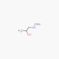 CONCC(C)O